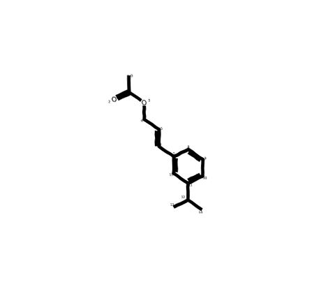 CC(=O)OCC=Cc1cccc(C(C)C)c1